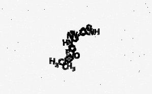 CC(C)N1CCN(C(=O)c2ccc(Nc3ccc(-c4ccc5c(c4)CNCO5)n4ccnc34)cc2F)CC1